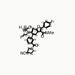 CNC(=O)c1c(-c2ccc(F)cc2)oc2cc(N(CCF)S(C)(=O)=O)c(-c3cccc(C(=O)N4CC[C@@H](C#N)C4)c3)cc12